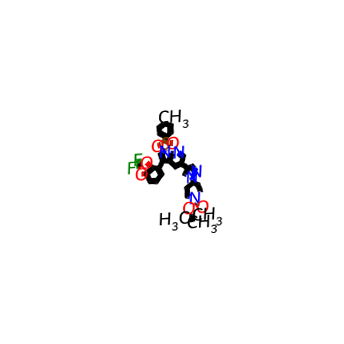 Cc1ccc(S(=O)(=O)n2cc(-c3cccc4c3OC(F)(F)O4)c3cc(-c4cnn(C5CCN(C(=O)OC(C)(C)C)CC5)c4)cnc32)cc1